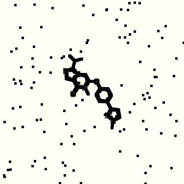 CC(C)c1ncc2c(=O)n(C)c(Oc3ccc(-c4ccn(C)n4)cc3)cn12